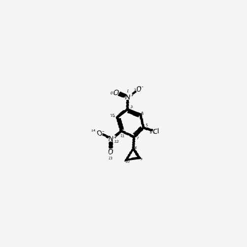 O=[N+]([O-])c1cc(Cl)c(C2CC2)c([N+](=O)[O-])c1